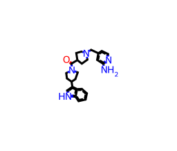 Nc1cc(CN2CCC(C(=O)N3CCC(c4c[nH]c5ccccc45)CC3)CC2)ccn1